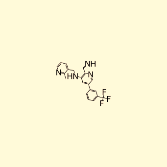 Cc1ncccc1CNc1cc(-c2cccc(C(F)(F)F)c2)cnc1C=N